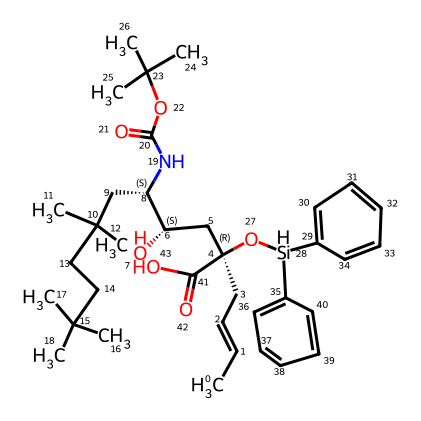 CC=CC[C@](C[C@H](O)[C@H](CC(C)(C)CCC(C)(C)C)NC(=O)OC(C)(C)C)(O[SiH](c1ccccc1)c1ccccc1)C(=O)O